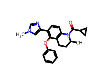 CC1CCc2c(ccc(-c3cn(C)cn3)c2Oc2ccccc2)N1C(=O)C1CC1